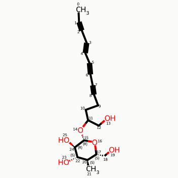 CC#CC#CC#CC#CCCC(CO)O[C@@H]1O[C@H](CO)[C@@H](C)[C@H](O)[C@H]1O